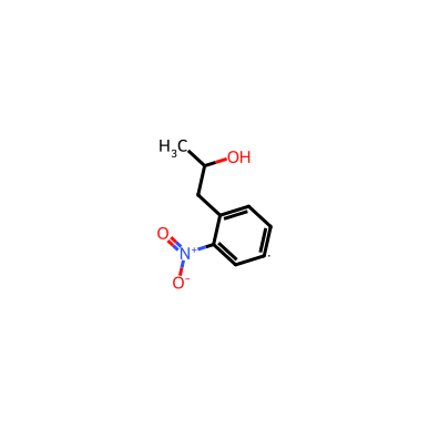 CC(O)Cc1cc[c]cc1[N+](=O)[O-]